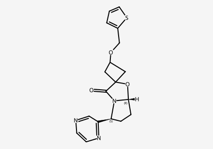 O=C1N2[C@@H](CC[C@H]2c2cnccn2)OC12CC(OCc1cccs1)C2